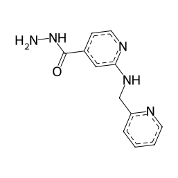 NNC(=O)c1ccnc(NCc2ccccn2)c1